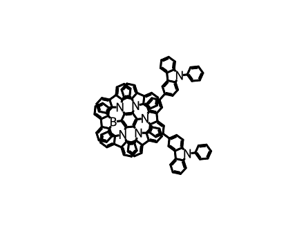 c1ccc(-n2c3ccccc3c3cc(-c4ccc5c(c4)c4cc(-c6ccc7c(c6)c6ccccc6n7-c6ccccc6)ccc4n5-c4c(-n5c6ccccc6c6ccccc65)c(-n5c6ccccc6c6ccccc65)c(B5c6ccccc6-c6ccccc65)c(-n5c6ccccc6c6ccccc65)c4-n4c5ccccc5c5ccccc54)ccc32)cc1